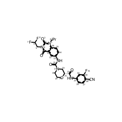 CC(C)n1c(=O)n(CC(F)F)c(=O)c2cc(NC(=O)N3CCO[C@@H](C(=O)Nc4ccc(C#N)c(F)c4)C3)ccc21